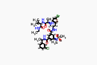 CCNC(=O)[C@@H](NC(=O)[C@H](C)NC[C@H](Cc1ccc(Br)s1)NC(=O)c1cc(C(=O)N[C@H](C)c2cccc(Cl)c2)cc(N(C)S(C)(=O)=O)c1)C(C)C